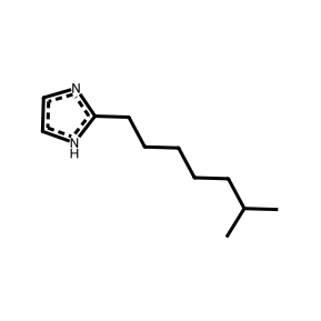 CC(C)CCCCCc1ncc[nH]1